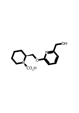 O=C(O)N1CCCC[C@H]1COc1cccc(CO)n1